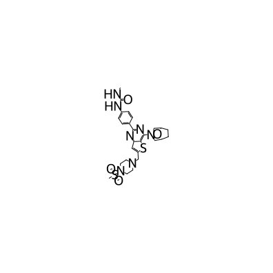 CNC(=O)Nc1ccc(-c2nc(N3CC4CCC(C3)O4)c3sc(CN4CCN(S(C)(=O)=O)CC4)cc3n2)cc1